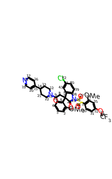 COc1ccccc1C1(CC(=O)N2CCC(c3ccncc3)CC2)C(=O)N(S(=O)(=O)c2ccc(OC(F)(F)F)cc2OC)c2ccc(Cl)cc21